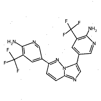 Nc1ncc(-c2ccc3ncc(-c4cnc(N)c(C(F)(F)F)c4)n3n2)cc1C(F)(F)F